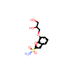 NS(=O)(=O)c1cc2cccc(OCC(O)CO)c2o1